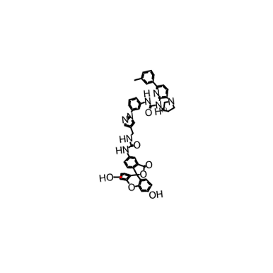 Cc1cccc(-c2ccc3c(n2)N(C(=O)Nc2cccc(-n4cc(CNC(=O)Nc5ccc6c(c5)C(=O)OC65c6ccc(O)cc6Oc6cc(O)ccc65)cn4)c2)[C@H]2CCN3C2)c1